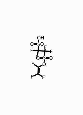 O=S(=O)(O)C(F)(F)C(F)(F)S(=O)(=O)OC(F)=C(F)F